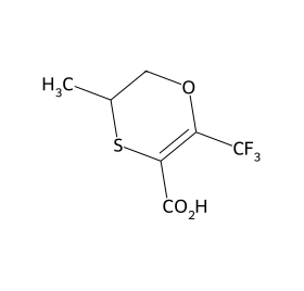 CC1COC(C(F)(F)F)=C(C(=O)O)S1